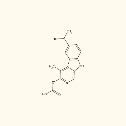 Cc1c(OC(=O)O)ncc2[nH]c3ccc(C(C)O)cc3c12